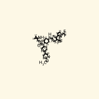 COc1ncc(-c2cnc(N(C(=O)NCC3(N)CC3)[C@H]3CC[C@H](Nc4ncc(C(F)(F)F)c(-c5ccn(C(F)F)n5)n4)CC3)cn2)cn1